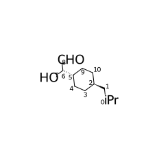 CC(C)C[C@H]1CC[C@H](C(O)C=O)CC1